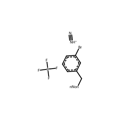 CCCCCCCCCCc1cccc(Br)c1.F[B-](F)(F)F.N#[NH+]